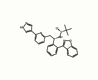 CC(C)(C)[S@+]([O-])NC(Cc1cccc(-c2cn[nH]c2)n1)c1ccccc1-c1noc2ccccc12